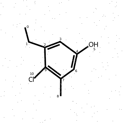 CCc1cc(O)cc(C)c1Cl